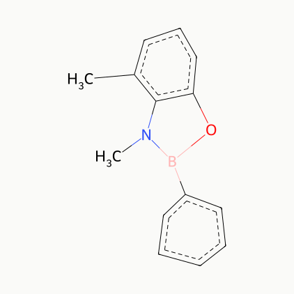 Cc1cccc2c1N(C)B(c1ccccc1)O2